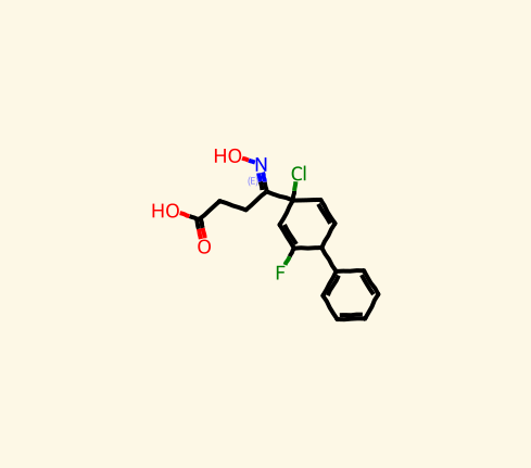 O=C(O)CC/C(=N\O)C1(Cl)C=CC(c2ccccc2)C(F)=C1